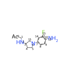 CC(=O)CNC1CCN(c2ccc(N)c(F)c2)C1